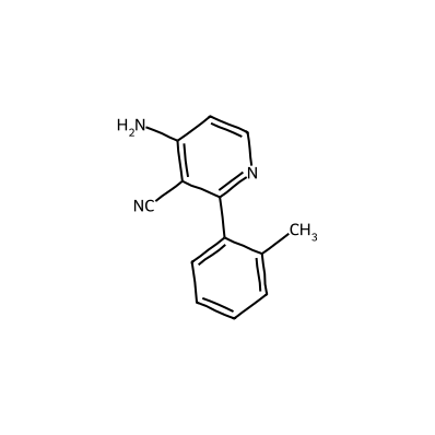 Cc1ccccc1-c1nccc(N)c1C#N